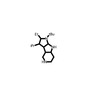 CCC1C(C(C)C)C2C3CNCCC3NC2N1C(C)(C)C